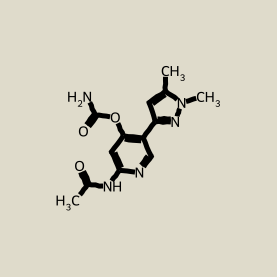 CC(=O)Nc1cc(OC(N)=O)c(-c2cc(C)n(C)n2)cn1